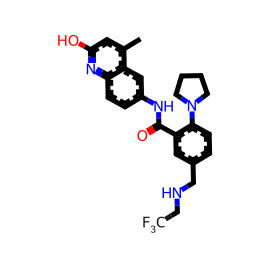 Cc1cc(O)nc2ccc(NC(=O)c3cc(CNCC(F)(F)F)ccc3N3CCCC3)cc12